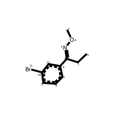 CCC(=NOC)c1cccc(Br)c1